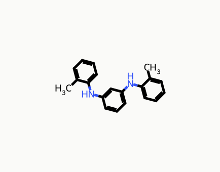 Cc1ccccc1Nc1cccc(Nc2ccccc2C)c1